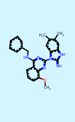 COc1cccc2c(NCc3ccccc3)nc(-n3c(=N)[nH]c4cc(C)c(C)cc43)nc12